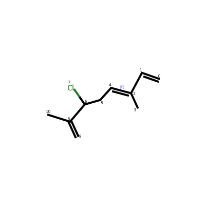 C=C/C(C)=C/CC(Cl)C(=C)C